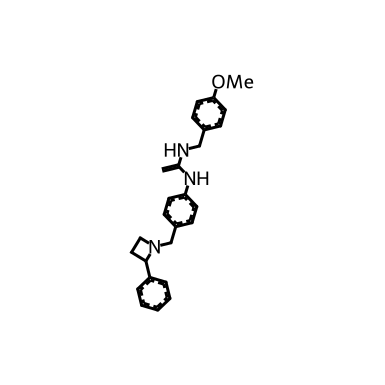 C=C(NCc1ccc(OC)cc1)Nc1ccc(CN2CCC2c2ccccc2)cc1